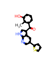 Cc1c(O)cccc1C(=O)c1c[nH]c2ncc(-c3cccs3)cc12